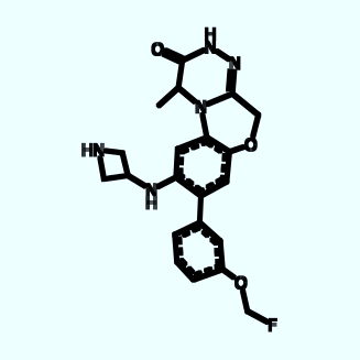 CC1C(=O)NN=C2COc3cc(-c4cccc(OCF)c4)c(NC4CNC4)cc3N21